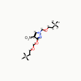 C[Si](C)(C)CCOCOc1nn(COCC[Si](C)(C)C)cc1[N+](=O)[O-]